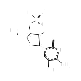 Cc1cn([C@@H]2O[C@H](CO)[C@@H](OP(O)(O)=S)[C@H]2O)c(=O)nc1N